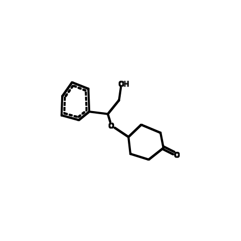 O=C1CCC(OC(CO)c2ccccc2)CC1